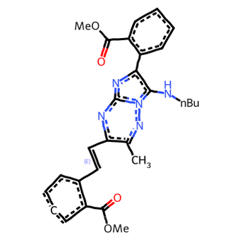 CCCCNc1c(-c2ccccc2C(=O)OC)nc2nc(/C=C/c3ccccc3C(=O)OC)c(C)nn12